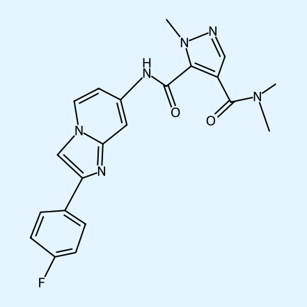 CN(C)C(=O)c1cnn(C)c1C(=O)Nc1ccn2cc(-c3ccc(F)cc3)nc2c1